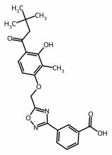 Cc1c(OCc2nc(-c3cccc(C(=O)O)c3)no2)ccc(C(=O)CC(C)(C)C)c1O